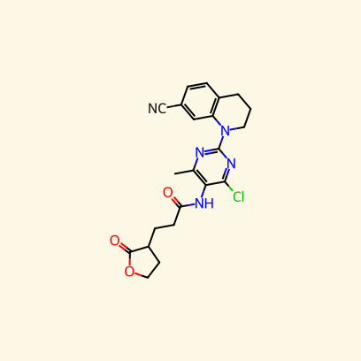 Cc1nc(N2CCCc3ccc(C#N)cc32)nc(Cl)c1NC(=O)CCC1CCOC1=O